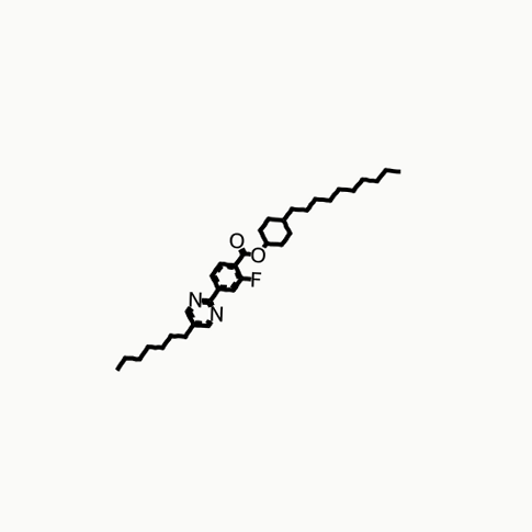 CCCCCCCCCCC1CCC(OC(=O)c2ccc(-c3ncc(CCCCCCC)cn3)cc2F)CC1